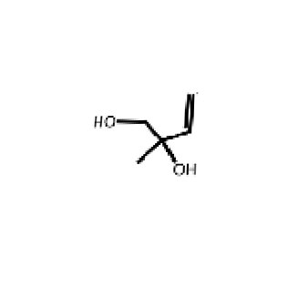 [CH]=CC(C)(O)CO